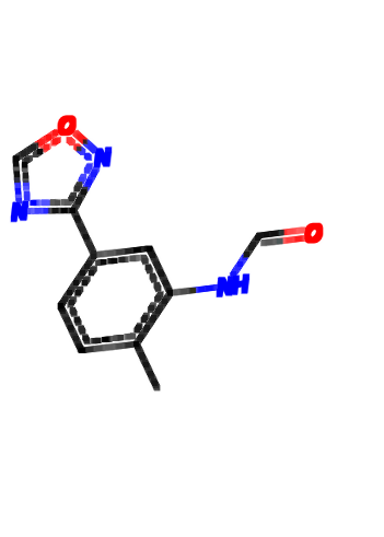 Cc1ccc(-c2ncon2)cc1NC=O